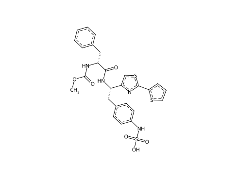 COC(=O)N[C@H](Cc1ccccc1)C(=O)N[C@@H](Cc1ccc(NS(=O)(=O)O)cc1)c1csc(-c2cccs2)n1